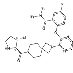 CC[C@H]1CCN[C@@H]1C(=O)N1CCC2(CC1)CN(c1ncnnc1Oc1ccc(F)cc1C(=O)N(CC)C(C)C)C2